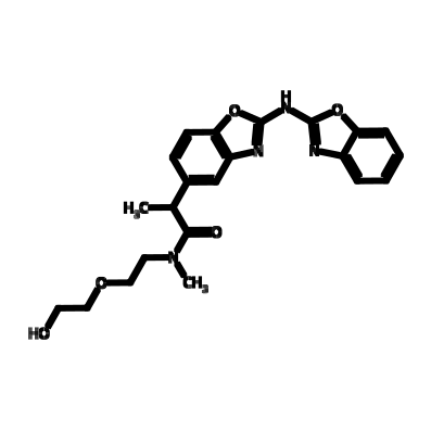 CC(C(=O)N(C)CCOCCO)c1ccc2oc(Nc3nc4ccccc4o3)nc2c1